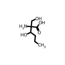 CCCC(O)C(N)(CO)C(=O)O